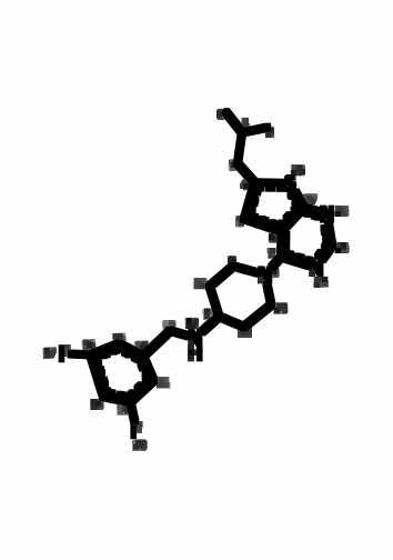 CC(C)Cc1cc2c(N3CCC(NCc4cc(F)cc(F)c4)CC3)ncnc2s1